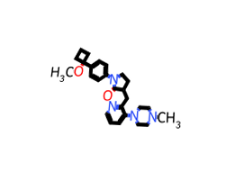 COC1(c2ccc(N3CCC(Cc4ncccc4N4CCN(C)CC4)C3=O)cc2)CCC1